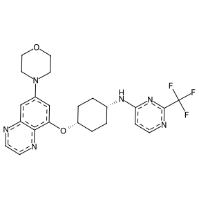 FC(F)(F)c1nccc(N[C@H]2CC[C@@H](Oc3cc(N4CCOCC4)cc4nccnc34)CC2)n1